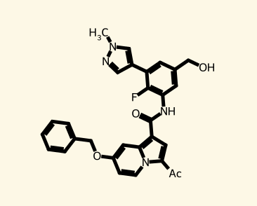 CC(=O)c1cc(C(=O)Nc2cc(CO)cc(-c3cnn(C)c3)c2F)c2cc(OCc3ccccc3)ccn12